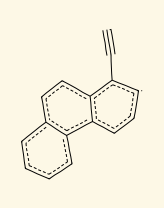 [C]#Cc1[c]ccc2c1ccc1ccccc12